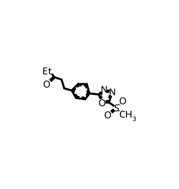 CCC(=O)CCc1ccc(-c2nnc(S(C)(=O)=O)o2)cc1